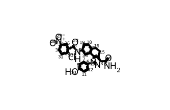 NC(=O)c1nn(-c2ccc(O)cc2)c2c1CCc1ccc(NC(=O)c3cc([N+](=O)[O-])ccc3Cl)cc1-2